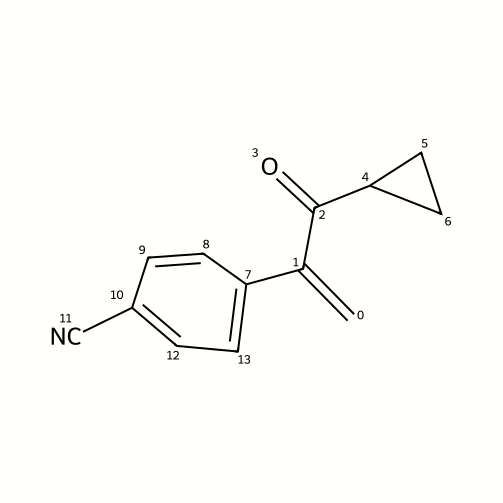 C=C(C(=O)C1CC1)c1ccc(C#N)cc1